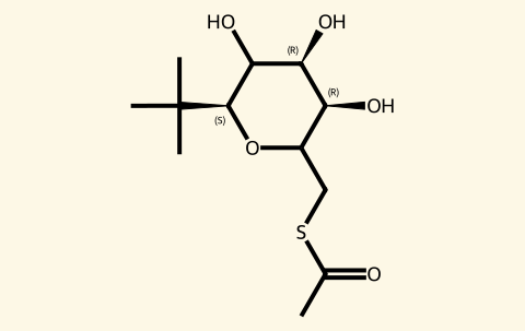 CC(=O)SCC1O[C@@H](C(C)(C)C)C(O)[C@@H](O)[C@H]1O